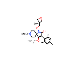 CCOC(=O)OC1=C(c2c(C)cc(C)cc2C)C(=O)N(OCC2(CC)COC2)C12CCN(OC)CC2